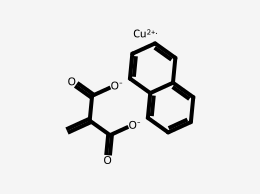 C=C(C(=O)[O-])C(=O)[O-].[Cu+2].c1ccc2ccccc2c1